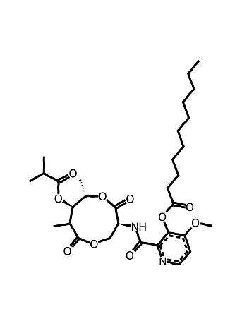 CCCCCCCCCCC(=O)Oc1c(OC)ccnc1C(=O)N[C@H]1COC(=O)C(C)[C@@H](OC(=O)C(C)C)[C@H](C)OC1=O